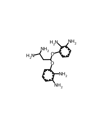 Nc1cccc(OC(CC(N)N)Oc2cccc(N)c2N)c1N